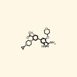 CC(=O)c1ccc(-c2cc(OC3CCOCC3)c3c(N)n[nH]c3c2)cc1N1CCN(C2CC2)CC1